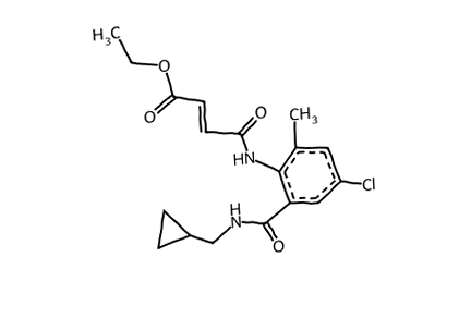 CCOC(=O)C=CC(=O)Nc1c(C)cc(Cl)cc1C(=O)NCC1CC1